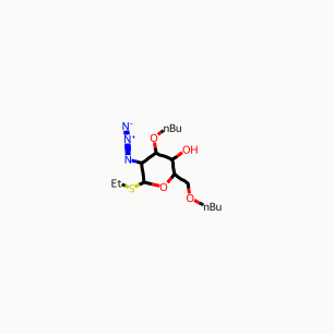 CCCCOCC1OC(SCC)C(N=[N+]=[N-])C(OCCCC)C1O